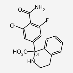 NC(=O)c1c(F)cc([C@@]2(C(=O)O)NCCc3ccccc32)cc1Cl